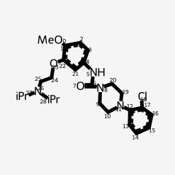 COc1ccc(NC(=O)N2CCN(c3ccccc3Cl)CC2)cc1OCCN(C(C)C)C(C)C